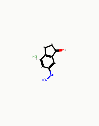 Cl.NNc1ccc2c(c1)C(=O)CC2